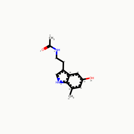 CC(=O)NCCc1c[nH]c2c(C)cc(O)cc12